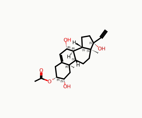 C#C[C@]1(O)CC[C@H]2[C@@H]3[C@@H](O)C=C4C[C@@H](OC(C)=O)[C@@H](O)C[C@]4(C)[C@H]3CC[C@@]21C